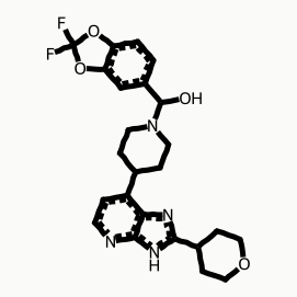 OC(c1ccc2c(c1)OC(F)(F)O2)N1CCC(c2ccnc3[nH]c(C4CCOCC4)nc23)CC1